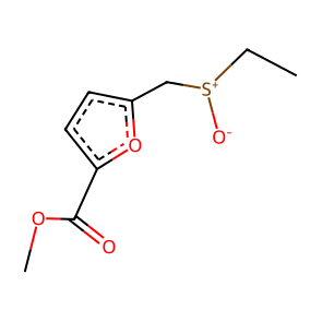 CC[S+]([O-])Cc1ccc(C(=O)OC)o1